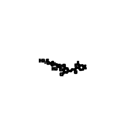 COc1cc(CCC(=O)c2sc(C)c3c2CCC(C)(C)C3)cc(Cl)c1OCC(O)CN1CC(OC(=O)O)C1